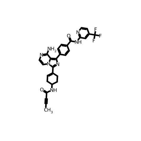 CC#CC(=O)NC1CC=C(c2nc(-c3ccc(C(=O)Nc4cc(C(F)(F)F)ccn4)cc3)c3c(N)nccn23)CC1